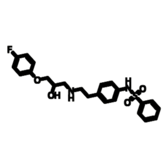 O=S(=O)(Nc1ccc(CCNCC(O)COc2ccc(F)cc2)cc1)c1ccccc1